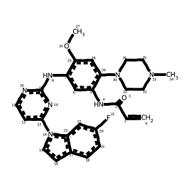 C=CC(=O)Nc1cc(Nc2nccc(-n3ccc4ccc(F)cc43)n2)c(OC)cc1N1CCN(C)CC1